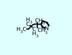 CCC(C)(C)CC(C)(CC)c1cccnc1